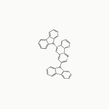 c1ccc2c(c1)c(-n1c3ccccc3c3ccccc31)cc1cc(-n3c4ccccc4c4ccccc43)cnc12